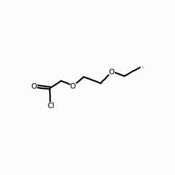 [CH2]COCCOCC(=O)Cl